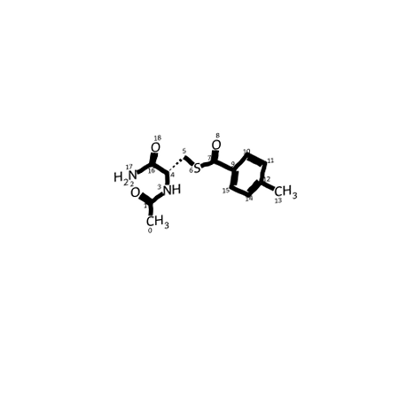 CC(=O)N[C@@H](CSC(=O)c1ccc(C)cc1)C(N)=O